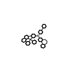 c1ccc(-c2ccc(N(c3ccc4c(c3)CCCc3ccccc3-4)c3ccc4c(c3)C(c3ccccc3)(c3ccccc3)c3c-4ccc4ccccc34)cc2)cc1